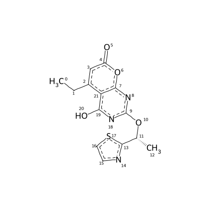 CCc1cc(=O)oc2nc(O[C@H](C)c3nccs3)nc(O)c12